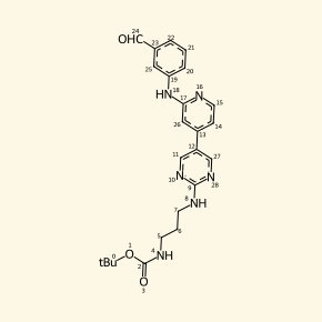 CC(C)(C)OC(=O)NCCCNc1ncc(-c2ccnc(Nc3cccc(C=O)c3)c2)cn1